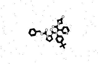 CC(C)(C)c1ccc(N(C(=O)[C@H]2CCCN2C(=O)OCc2ccccc2)C(C(=O)N2CC(=O)C2)c2cccnc2)cc1